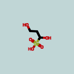 O=S(=O)(O)C(O)CCO